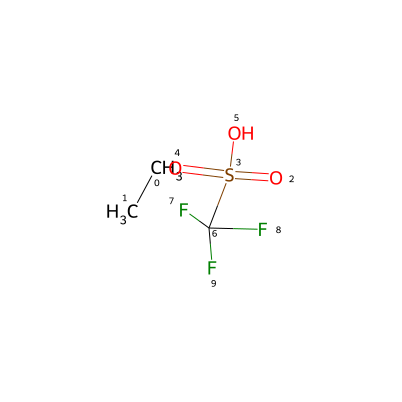 CC.O=S(=O)(O)C(F)(F)F